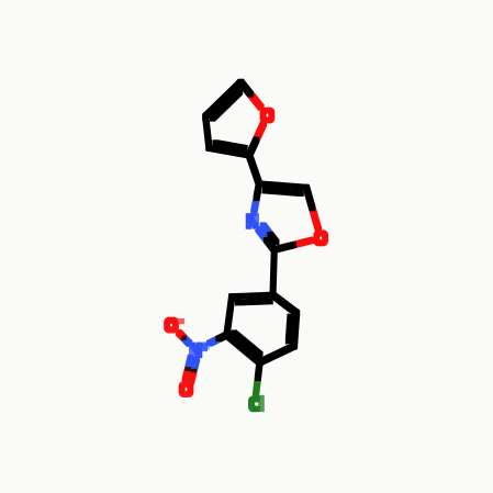 O=[N+]([O-])c1cc(-c2nc(-c3ccco3)co2)ccc1Cl